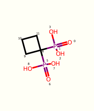 O=P(O)(O)C1(P(=O)(O)O)CCC1